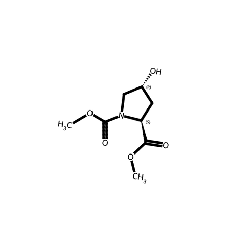 COC(=O)[C@@H]1C[C@@H](O)CN1C(=O)OC